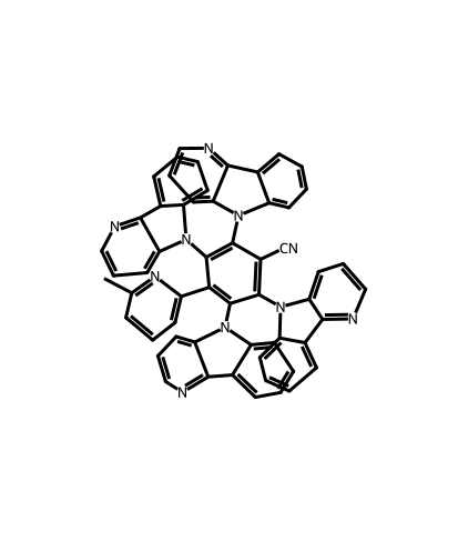 Cc1cccc(-c2c(-n3c4ccccc4c4ncccc43)c(-n3c4ccccc4c4ncccc43)c(C#N)c(-n3c4ccccc4c4ncccc43)c2-n2c3ccccc3c3ncccc32)n1